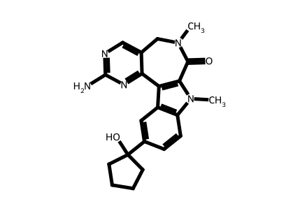 CN1Cc2cnc(N)nc2-c2c(n(C)c3ccc(C4(O)CCCC4)cc23)C1=O